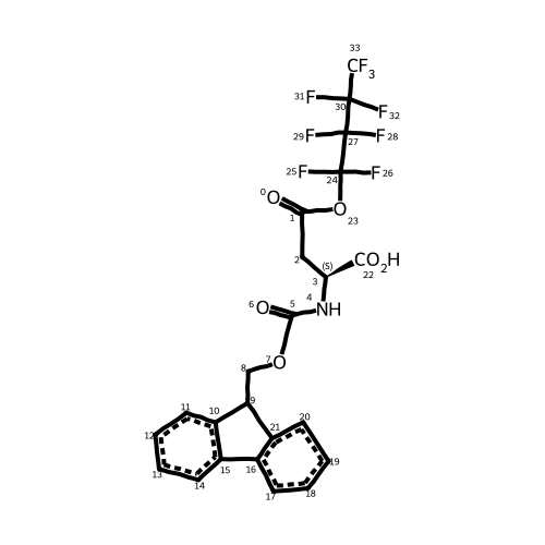 O=C(C[C@H](NC(=O)OCC1c2ccccc2-c2ccccc21)C(=O)O)OC(F)(F)C(F)(F)C(F)(F)C(F)(F)F